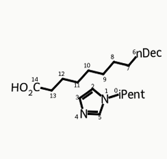 CCCC(C)n1ccnc1.CCCCCCCCCCCCCCCCCC(=O)O